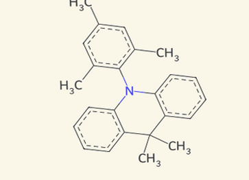 Cc1cc(C)c(N2c3ccccc3C(C)(C)c3ccccc32)c(C)c1